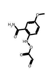 COc1ccc(NOC(=O)C=O)c(C(N)=O)c1